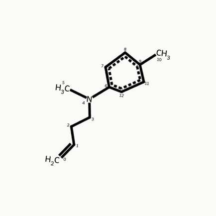 C=CCCN(C)c1ccc(C)cc1